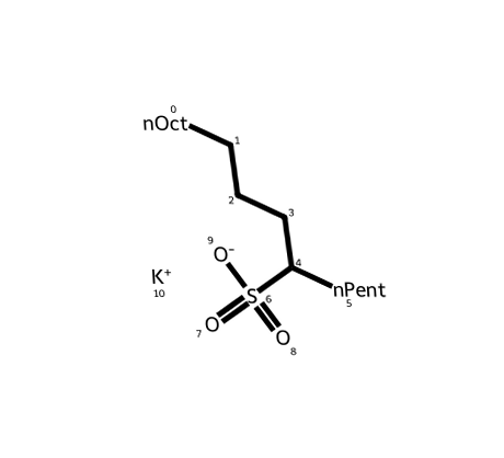 CCCCCCCCCCCC(CCCCC)S(=O)(=O)[O-].[K+]